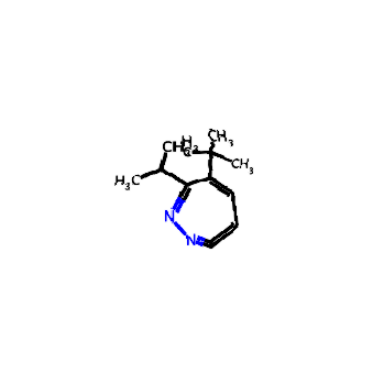 CC(C)C1=NN=C=CC=C1C(C)(C)C